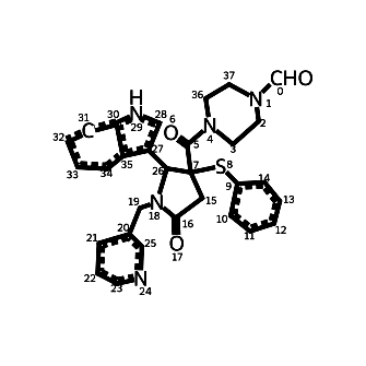 O=CN1CCN(C(=O)C2(Sc3ccccc3)CC(=O)N(Cc3cccnc3)C2c2c[nH]c3ccccc23)CC1